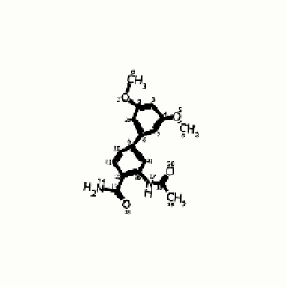 COc1cc(OC)cc(-c2ccc(C(N)=O)c(NC(C)=O)c2)c1